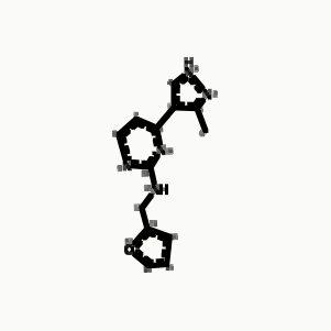 Cc1n[nH]cc1-c1ccnc(NCc2ccco2)n1